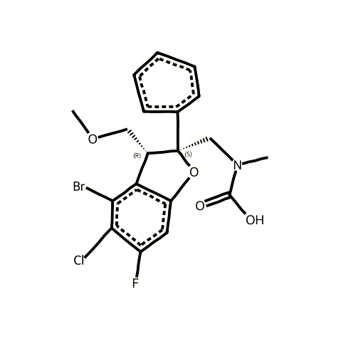 COC[C@H]1c2c(cc(F)c(Cl)c2Br)O[C@]1(CN(C)C(=O)O)c1ccccc1